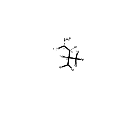 [2H]C([2H])[C@]([2H])([C@@H]([2H])[C@H](N)C(=O)O)C([2H])([2H])[2H]